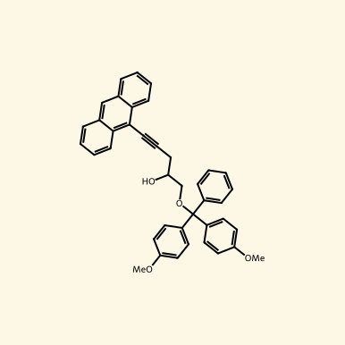 COc1ccc(C(OCC(O)CC#Cc2c3ccccc3cc3ccccc23)(c2ccccc2)c2ccc(OC)cc2)cc1